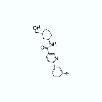 O=C(N[C@@H]1CCC[C@H](CO)C1)c1ccc(-c2cccc(F)c2)nc1